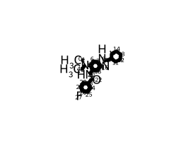 CCN(CC)c1cc2[nH]c(C3CCCCC3)nc2cc1NC(=O)c1ccc(F)cc1